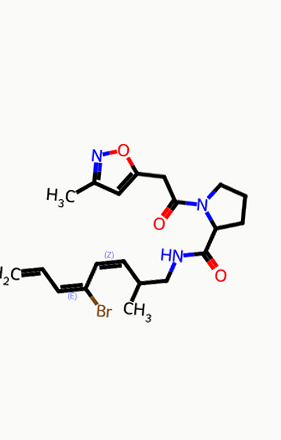 C=C/C=C(Br)\C=C/C(C)CNC(=O)C1CCCN1C(=O)Cc1cc(C)no1